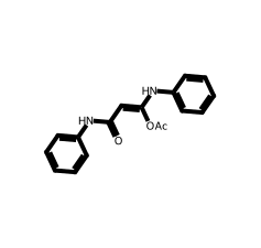 CC(=O)O/C(=C\C(=O)Nc1ccccc1)Nc1ccccc1